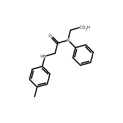 Cc1ccc(NCC(=O)N(CC(=O)O)c2ccccc2)cc1